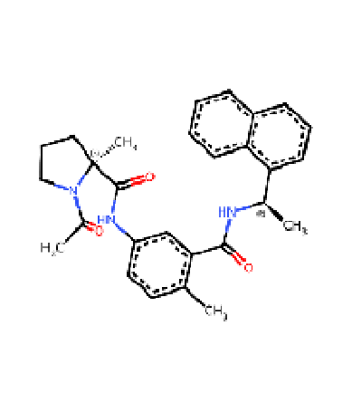 CC(=O)N1CCC[C@@]1(C)C(=O)Nc1ccc(C)c(C(=O)N[C@H](C)c2cccc3ccccc23)c1